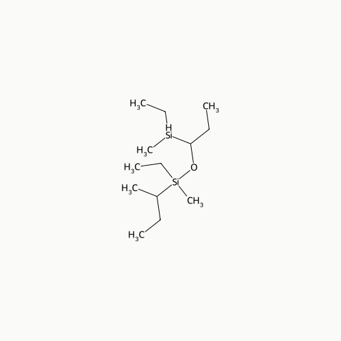 CCC(O[Si](C)(CC)C(C)CC)[SiH](C)CC